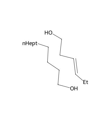 CC/C=C/CCO.CCCCCCCCCCCO